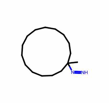 CC1(N=N)CCCCCCCCCCCCCC1